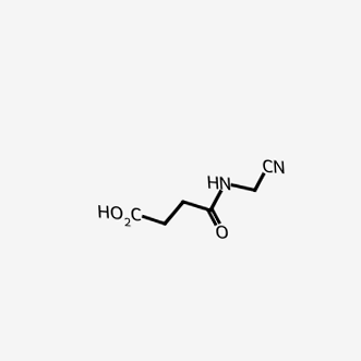 N#CCNC(=O)CCC(=O)O